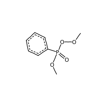 COOP(=O)(OC)c1ccccc1